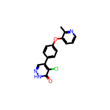 Cc1ncccc1Oc1ccc(-c2cn[nH]c(=O)c2Cl)cc1